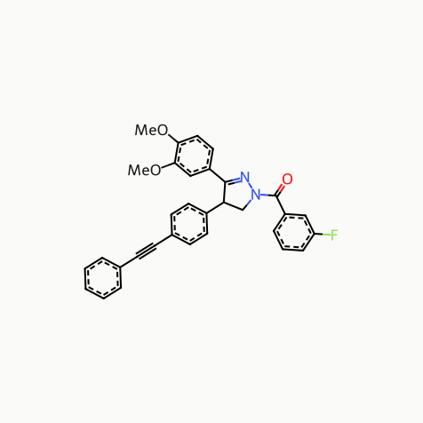 COc1ccc(C2=NN(C(=O)c3cccc(F)c3)CC2c2ccc(C#Cc3ccccc3)cc2)cc1OC